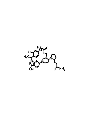 CC(c1ccc(Cl)cc1Cl)n1nc(C#N)c2ncc(N3CCC(N4CCCC4CCC(N)=O)C(COC(=O)C(F)(F)F)C3)nc21